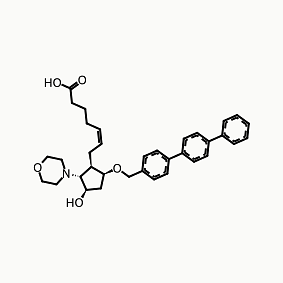 O=C(O)CCC/C=C\C[C@@H]1[C@@H](N2CCOCC2)[C@H](O)C[C@@H]1OCc1ccc(-c2ccc(-c3ccccc3)cc2)cc1